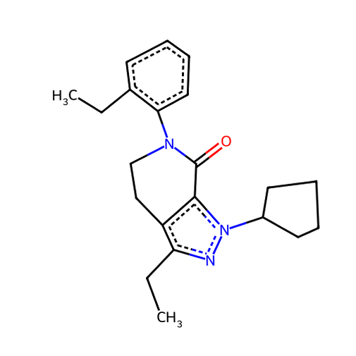 CCc1ccccc1N1CCc2c(CC)nn(C3CCCC3)c2C1=O